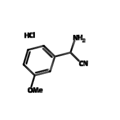 COc1cccc(C(N)C#N)c1.Cl